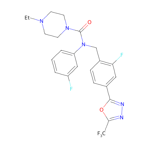 CCN1CCN(C(=O)N(Cc2ccc(-c3nnc(C(F)(F)F)o3)cc2F)c2cccc(F)c2)CC1